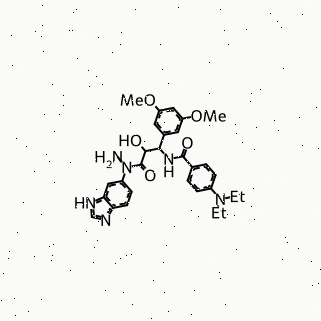 CCN(CC)c1ccc(C(=O)NC(c2cc(OC)cc(OC)c2)C(O)C(=O)N(N)c2ccc3nc[nH]c3c2)cc1